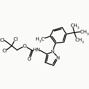 Cc1ccc(C(C)(C)C)cc1-n1nccc1NC(=O)OCC(Cl)(Cl)Cl